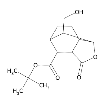 CC(C)(C)OC(=O)C1C2CCC3C(OC(=O)C31)C2CO